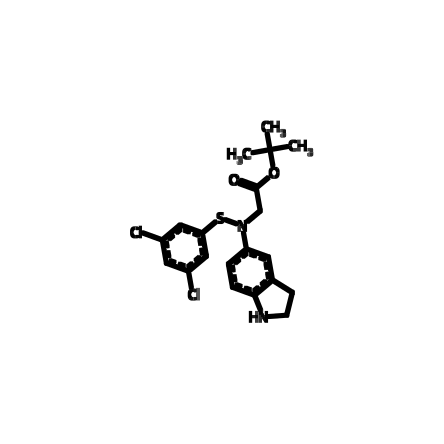 CC(C)(C)OC(=O)CN(Sc1cc(Cl)cc(Cl)c1)c1ccc2c(c1)CCN2